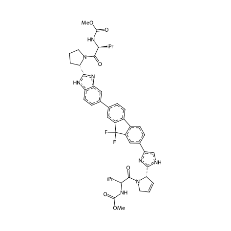 COC(=O)NC(C(=O)N1CC=C[C@H]1c1nc(-c2ccc3c(c2)C(F)(F)c2cc(-c4ccc5[nH]c([C@@H]6CCCN6C(=O)[C@@H](NC(=O)OC)C(C)C)nc5c4)ccc2-3)c[nH]1)C(C)C